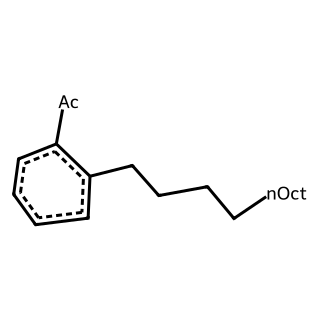 CCCCCCCCCCCCc1ccccc1C(C)=O